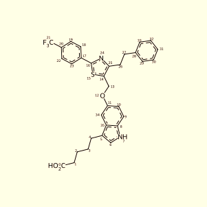 O=C(O)CCCCc1c[nH]c2ccc(OCc3sc(-c4ccc(C(F)(F)F)cc4)nc3CCc3ccccc3)cc12